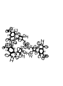 O=c1[nH]c(=O)n([C@@H]2O[C@H](COP(=O)(OC[C@H]3O[C@@H](n4c(=O)[nH]c(=O)c5cc([N+](=O)[O-])c(Cl)cc54)[C@H](O)[C@@H]3O)OC[C@H]3O[C@@H](n4c(=O)[nH]c(=O)c5cc([N+](=O)[O-])c(Cl)cc54)[C@H](O)[C@@H]3O)[C@@H](O)[C@H]2O)c2cc(Cl)c([N+](=O)[O-])cc12